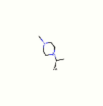 CC(=O)[C@H](C)N1CCN(C)CC1